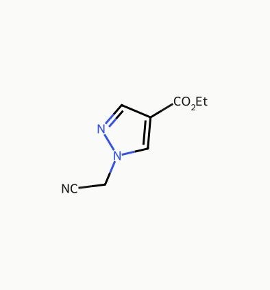 CCOC(=O)c1cnn(CC#N)c1